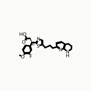 COc1ccc([C@@H](CC(=O)O)c2ncc(CCCc3ccc4c(n3)NCCC4)s2)cc1F